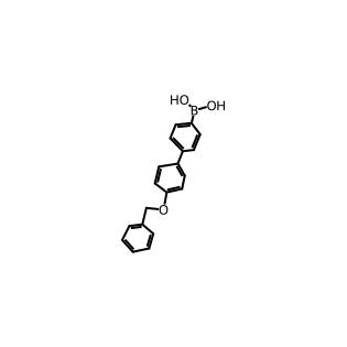 OB(O)c1ccc(-c2ccc(OCc3ccccc3)cc2)cc1